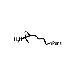 CCCCCCCCCC1OC1(C)N